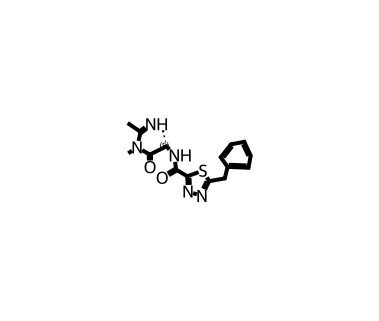 CC(=N)N(C)C(=O)[C@H](C)NC(=O)c1nnc(Cc2ccccc2)s1